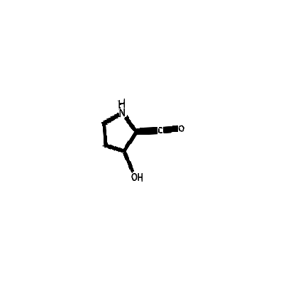 O=C=C1NC[CH]C1O